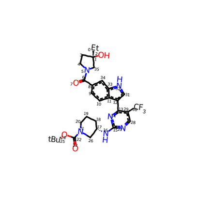 CC[C@]1(O)CCN(C(=O)c2ccc3c(-c4nc(N[C@H]5CCCN(C(=O)OC(C)(C)C)C5)ncc4C(F)(F)F)c[nH]c3c2)C1